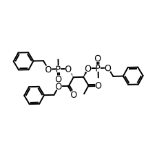 CC(=O)[C@H](OP(C)(=O)OCc1ccccc1)[C@@H](OP(C)(=O)OCc1ccccc1)C(=O)OCc1ccccc1